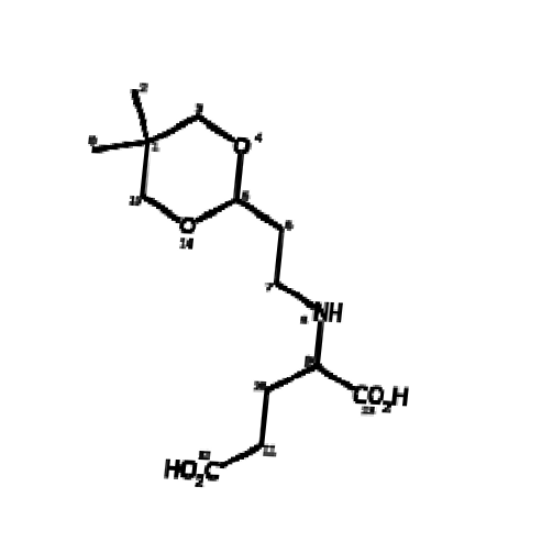 CC1(C)COC(CCNC(CCC(=O)O)C(=O)O)OC1